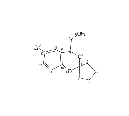 OCC1OC2(CCCC2)Oc2ccc(Cl)cc21